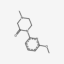 [CH2]N1CCN(c2cccc(OC)n2)C(=O)C1